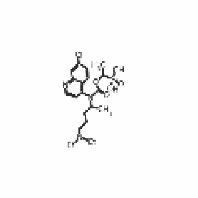 CCN(CC)CCCC(C)N(C(=O)OC(C)P(=O)(O)O)c1ccnc2cc(Cl)ccc12